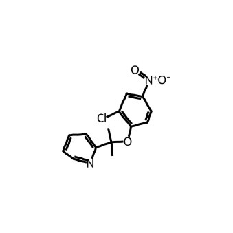 CC(C)(Oc1ccc([N+](=O)[O-])cc1Cl)c1ccccn1